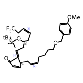 COc1ccc(COCCCC/C=C\C[C@H]2C=CC(=O)/C2=C/C[C@H](C/C=C\CC(F)(F)F)O[Si](C)(C)C(C)(C)C)cc1